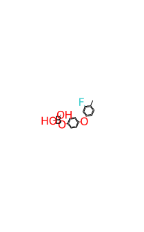 Cc1ccc(Oc2ccc(OB(O)O)cc2)cc1F